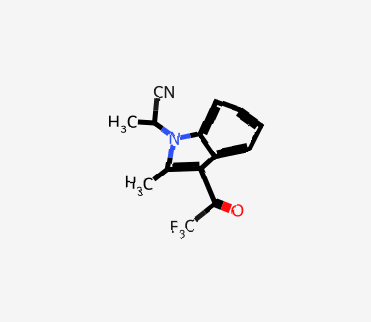 Cc1c(C(=O)C(F)(F)F)c2ccccc2n1C(C)C#N